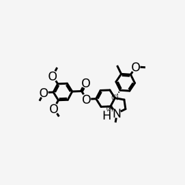 COc1ccc([C@@]23CC=C(OC(=O)c4cc(OC)c(OC)c(OC)c4)C[C@@H]2N(C)CC3)cc1C